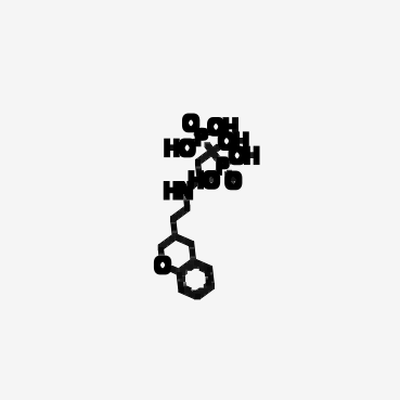 O=P(O)(O)C(O)(CCNCCC1COc2ccccc2C1)P(=O)(O)O